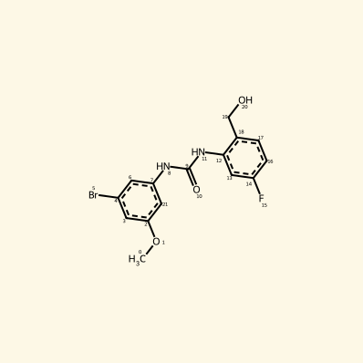 COc1cc(Br)cc(NC(=O)Nc2cc(F)ccc2CO)c1